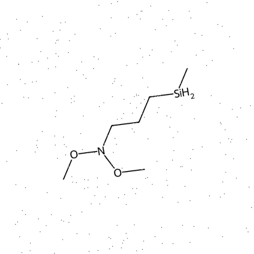 CON(CCC[SiH2]C)OC